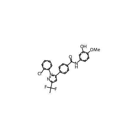 COc1ccc(NC(=O)c2ccc(-c3cc(C(C)(F)F)nn3-c3ccccc3Cl)cc2)cc1O